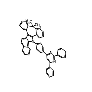 CC1(C)c2ccccc2-c2c(n(-c3ccc(-c4cc(-c5ccccc5)nc(-c5ccccc5)n4)cc3)c3c2ccc2ccccc23)-c2ccccc21